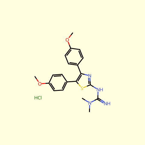 COc1ccc(-c2nc(NC(=N)N(C)C)sc2-c2ccc(OC)cc2)cc1.Cl